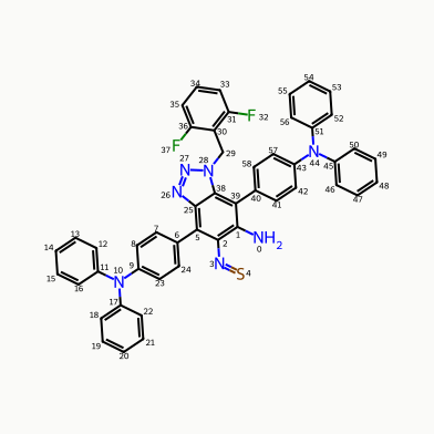 Nc1c(N=S)c(-c2ccc(N(c3ccccc3)c3ccccc3)cc2)c2nnn(Cc3c(F)cccc3F)c2c1-c1ccc(N(c2ccccc2)c2ccccc2)cc1